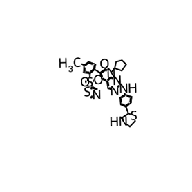 Cc1ccc(-c2cc3cnc(Nc4ccc(C5CNCCS5)cc4)nc3n(C3CCCC3)c2=O)c(S(=O)(=O)c2cncs2)c1